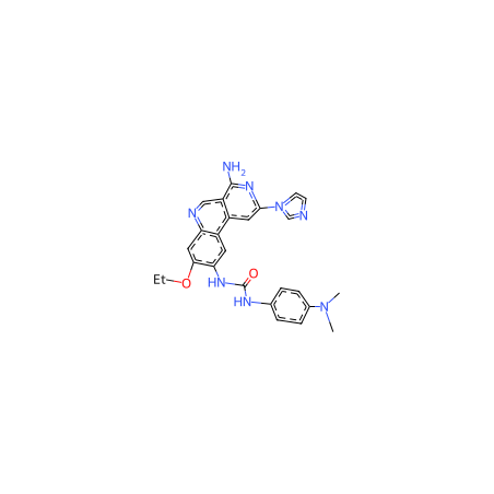 CCOc1cc2ncc3c(N)nc(-n4ccnc4)cc3c2cc1NC(=O)Nc1ccc(N(C)C)cc1